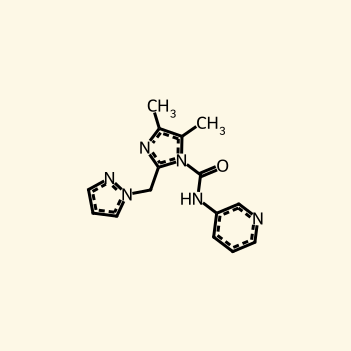 Cc1nc(Cn2cccn2)n(C(=O)Nc2cccnc2)c1C